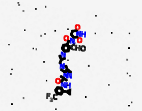 CN(C(=O)c1ccc(N2CC(CN3Cc4cnn(C(C)(C)C(=O)Nc5ccc(C(F)(F)F)cc5C5CC5)c4C3)C2)cc1C=O)C1CCC(=O)NC1=O